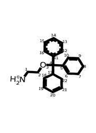 NCCOC(C1=CCCC=C1)(c1ccccc1)C1C=CC=CC1